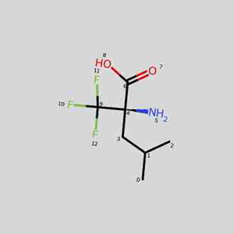 CC(C)C[C@@](N)(C(=O)O)C(F)(F)F